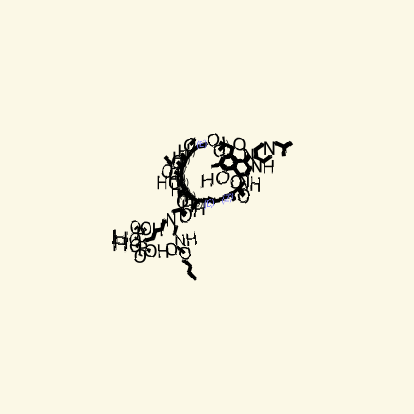 CCCCOC(=O)NCCN(CCCCC(P(=O)(O)O)P(=O)(O)O)CC(=O)O[C@@H]1[C@@H](C)[C@@H](O)[C@@H](C)[C@H](OC(C)=O)[C@H](C)[C@@H](OC)/C=C/O[C@@]2(C)Oc3c(C)c(O)c4c(c3C2=O)C2=NC3(CCN(CC(C)C)CC3)NC2=C(NC(=O)/C(C)=C\C=C\[C@@H]1C)C4=O